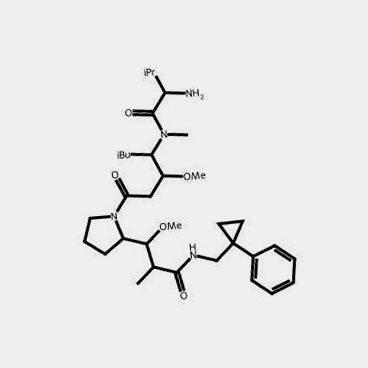 CCC(C)C(C(CC(=O)N1CCCC1C(OC)C(C)C(=O)NCC1(c2ccccc2)CC1)OC)N(C)C(=O)C(N)C(C)C